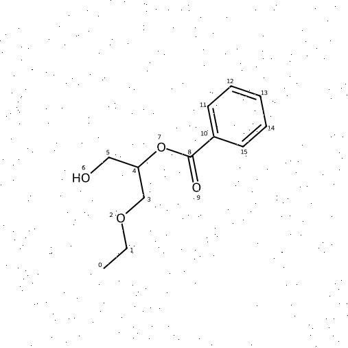 CCOCC(CO)OC(=O)c1ccccc1